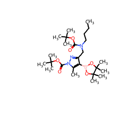 CCCCN(Cc1nn(C(=O)OC(C)(C)C)c(C)c1B1OC(C)(C)C(C)(C)O1)C(=O)OC(C)(C)C